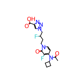 CC(=O)N(c1ccn(CCC(F)Cn2cc(C(=O)O)nn2)c(=O)c1F)C1CCC1